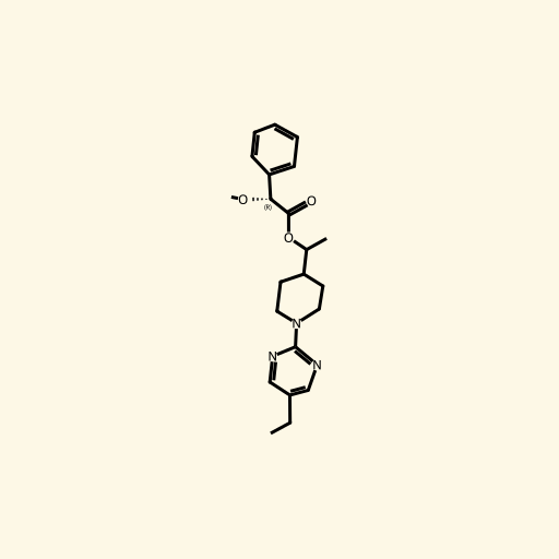 CCc1cnc(N2CCC(C(C)OC(=O)[C@H](OC)c3ccccc3)CC2)nc1